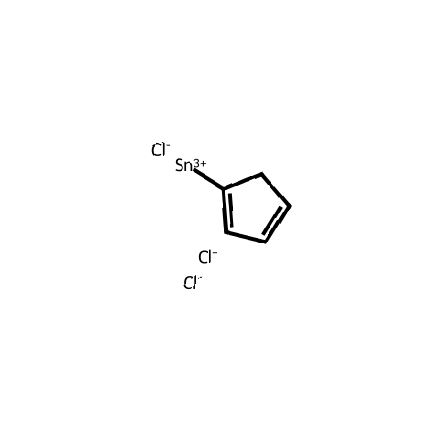 [Cl-].[Cl-].[Cl-].[Sn+3][C]1=CC=CC1